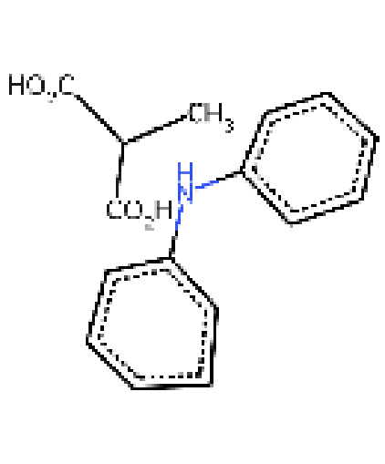 CC(C(=O)O)C(=O)O.c1ccc(Nc2ccccc2)cc1